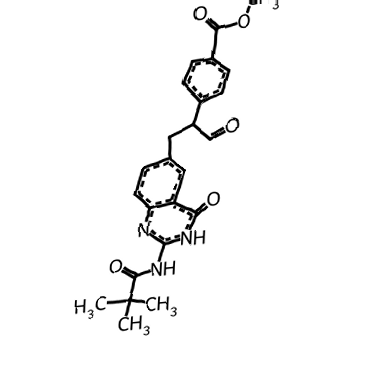 COC(=O)c1ccc(C(C=O)Cc2ccc3nc(NC(=O)C(C)(C)C)[nH]c(=O)c3c2)cc1